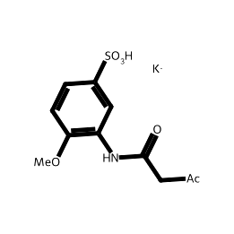 COc1ccc(S(=O)(=O)O)cc1NC(=O)CC(C)=O.[K]